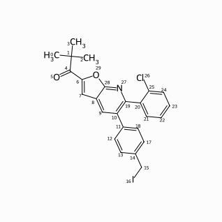 CC(C)(C)C(=O)c1cc2cc(-c3ccc(CI)cc3)c(-c3ccccc3Cl)nc2o1